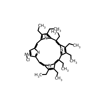 CCC1=C(CC)c2nc1c(CC)c1[nH]c(cc3nc(cc4[nH]c(c2CC)c(CC)c4CC)C=C3)c(CC)c1CC.[Cl][Mn]